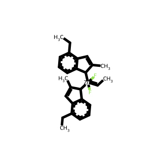 C[CH]=[Zr]([F])([F])([CH]1C(C)=Cc2c(CC)cccc21)[CH]1C(C)=Cc2c(CC)cccc21